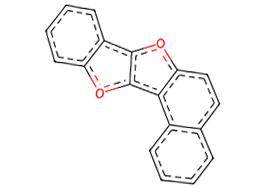 c1ccc2c(c1)ccc1oc3c4ccccc4oc3c12